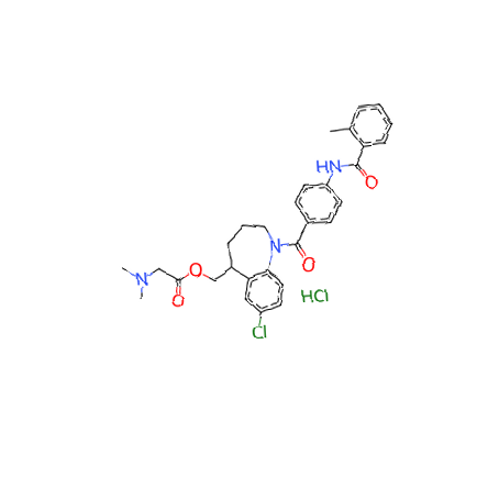 Cc1ccccc1C(=O)Nc1ccc(C(=O)N2CCCC(COC(=O)CN(C)C)c3cc(Cl)ccc32)cc1.Cl